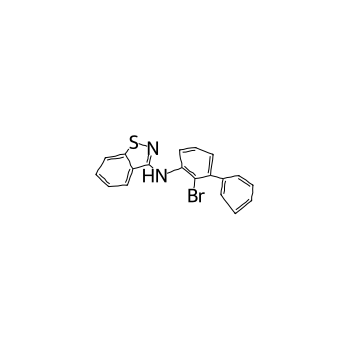 Brc1c(Nc2nsc3ccccc23)cccc1-c1ccccc1